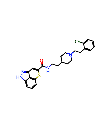 O=C(NCCC1CCN(CCc2ccccc2Cl)CC1)C1=Cc2n[nH]c3cccc(c23)S1